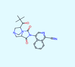 CC(C)(C)C(=O)C1CN2CC3C(=O)N(c4cnc(C#N)c5ccccc45)C(=O)[N+]31C2